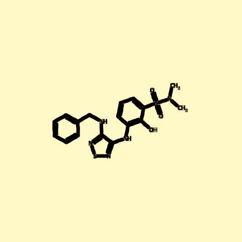 CN(C)S(=O)(=O)c1cccc(Nc2nsnc2NCc2ccccc2)c1O